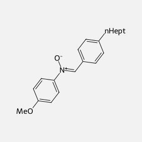 CCCCCCCc1ccc(C=[N+]([O-])c2ccc(OC)cc2)cc1